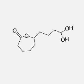 O=C1CCCCC(CCCC(O)O)O1